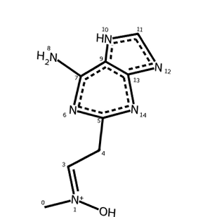 C[N+](O)=CCc1nc(N)c2[nH]cnc2n1